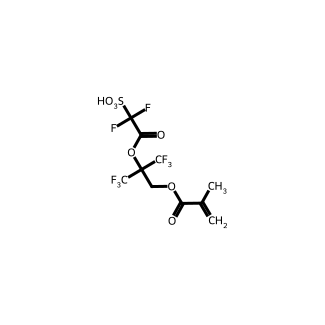 C=C(C)C(=O)OCC(OC(=O)C(F)(F)S(=O)(=O)O)(C(F)(F)F)C(F)(F)F